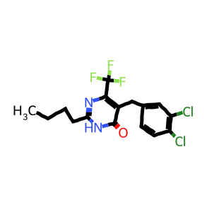 CCCCc1nc(C(F)(F)F)c(Cc2ccc(Cl)c(Cl)c2)c(=O)[nH]1